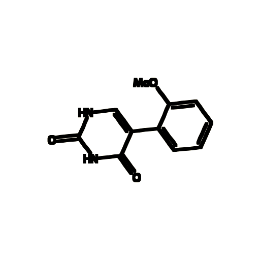 COc1ccccc1-c1c[nH]c(=O)[nH]c1=O